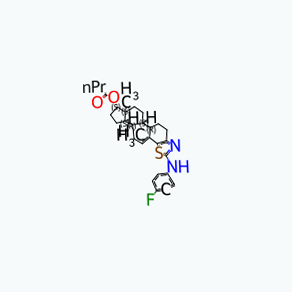 CCCC(=O)O[C@H]1CC[C@H]2[C@@H]3CC=C4c5sc(Nc6ccc(F)cc6)nc5CC[C@]4(C)[C@H]3CC[C@]12C